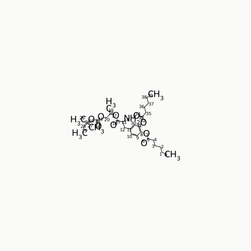 CCCCCC(=O)Oc1ccc(C[C@H](N)C(=O)O[C@@H](C)COC(=O)OC(C)(C)CC)cc1OC(=O)CCCCC